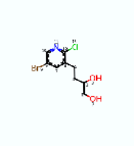 OCC(O)CCc1cc(Br)cnc1Cl